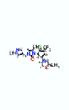 CCn1cc(Cn2cc(C)n(-c3cc(N4CCO[C@H](C)C4)cc(C(F)(F)F)c3Cl)c2=O)cn1